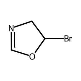 BrC1CN=CO1